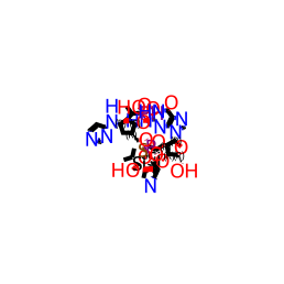 CC(C)C(=O)Nc1nc2c(ncn2[C@@H]2O[C@H](CO)[C@@H](O[Si](O[Si](O)(C(C)C)C(C)C)(C(C)C)C(C)C)[C@H]2OP(=S)(OCCC#N)OC[C@H]2C[C@@H](Nc3ccncn3)C[C@@H]2O[PH](=O)O)c(=O)[nH]1